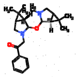 CN1CC2[C@H](C1OC1[C@@H]3C(CN1CC(=O)c1ccccc1)C3(C)C)C2(C)C